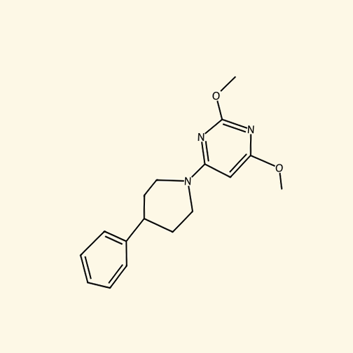 COc1cc(N2CCC(c3ccccc3)CC2)nc(OC)n1